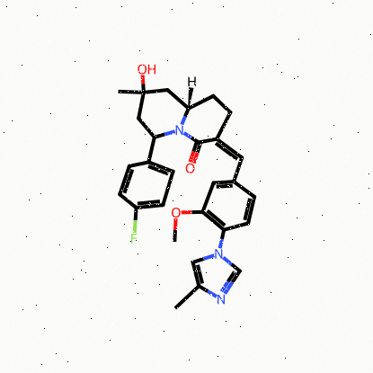 COc1cc(/C=C2/CC[C@H]3CC(C)(O)CC(c4ccc(F)cc4)N3C2=O)ccc1-n1cnc(C)c1